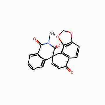 CN1C(=O)c2ccccc2C2(C=CC(=O)c3ccc4c(c32)OCO4)C1=O